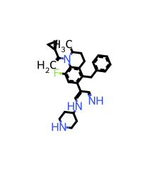 C=C(C1CC1)N1c2c(F)cc(/C(C=N)=C/NC3CCNCC3)c(Cc3ccccc3)c2CCC1C